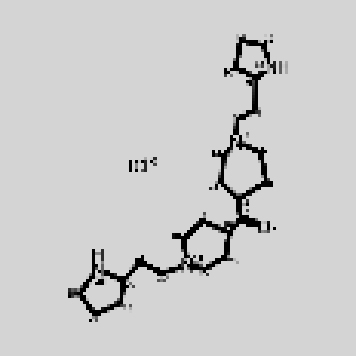 Cl.O=C(C1CCN(CCC2CCCN2)CC1)C1CCN(CCC2CCCN2)CC1